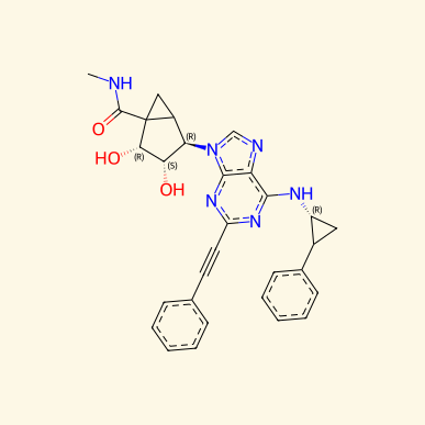 CNC(=O)C12CC1[C@@H](n1cnc3c(N[C@@H]4CC4c4ccccc4)nc(C#Cc4ccccc4)nc31)[C@H](O)[C@@H]2O